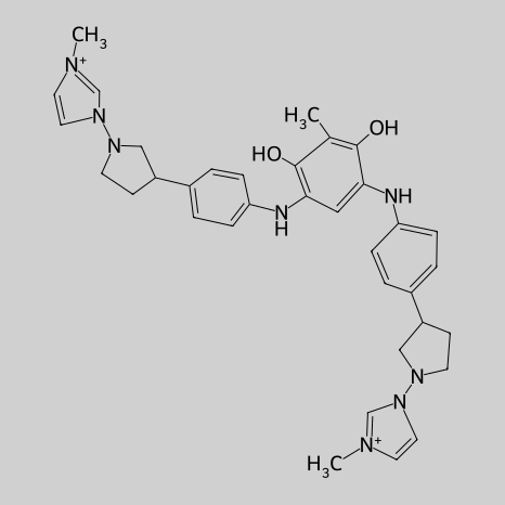 Cc1c(O)c(Nc2ccc(C3CCN(n4cc[n+](C)c4)C3)cc2)cc(Nc2ccc(C3CCN(n4cc[n+](C)c4)C3)cc2)c1O